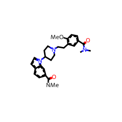 CNC(=O)c1ccc2ccn(C3CCN(CCc4cc(C(=O)N(C)C)ccc4OC)CC3)c2c1